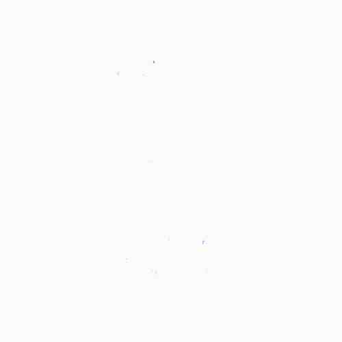 CC(C)N(CCCC/C=C/c1ccc(C(=O)N(Cc2ncc[nH]2)Cc2ncc[nH]2)cc1)C(C)C